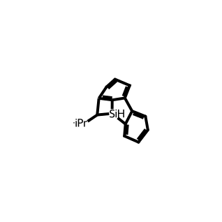 C[C](C)C1c2cccc3c2[SiH]1c1ccccc1-3